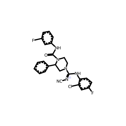 N#C/N=C(/Nc1ccc(F)cc1Cl)N1CCN(C(=O)Nc2cccc(F)c2)C(c2ccccc2)C1